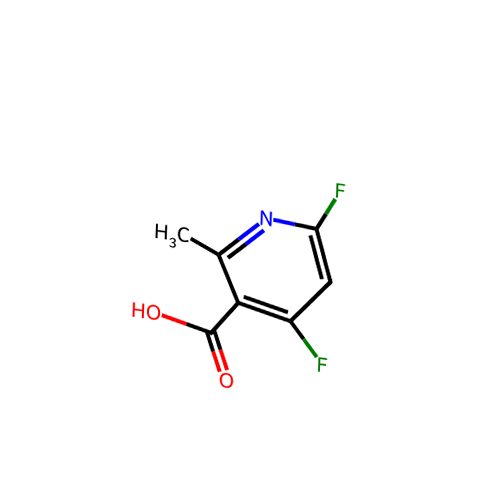 Cc1nc(F)cc(F)c1C(=O)O